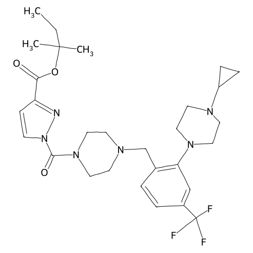 CCC(C)(C)OC(=O)c1ccn(C(=O)N2CCN(Cc3ccc(C(F)(F)F)cc3N3CCN(C4CC4)CC3)CC2)n1